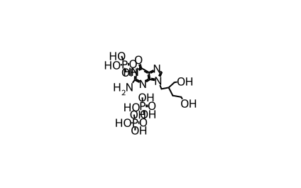 Nc1nc2c(ncn2CC(CO)CCO)c(=O)[nH]1.O=P(O)(O)O.O=P(O)(O)O.O=P(O)(O)O